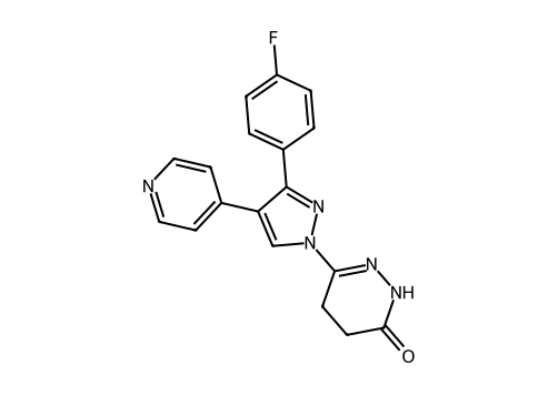 O=C1CCC(n2cc(-c3ccncc3)c(-c3ccc(F)cc3)n2)=NN1